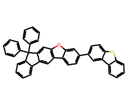 c1ccc(C2(c3ccccc3)c3ccccc3-c3cc4c(cc32)oc2cc(-c3ccc5sc6ccccc6c5c3)ccc24)cc1